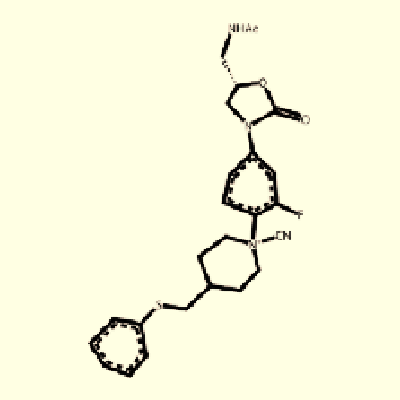 CC(=O)NC[C@H]1CN(c2ccc([N+]3(C#N)CCC(CSc4ccccc4)CC3)c(F)c2)C(=O)O1